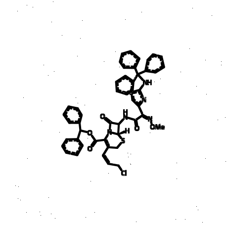 CO/N=C(\C(=O)NC1C(=O)N2C(C(=O)OC(c3ccccc3)c3ccccc3)=C(/C=C\CCl)CS[C@@H]12)c1csc(NC(c2ccccc2)(c2ccccc2)c2ccccc2)n1